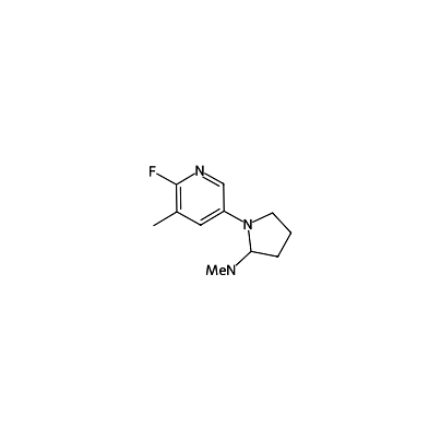 CNC1CCCN1c1cnc(F)c(C)c1